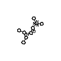 c1ccc(-c2ccc3c(c2)c2cc(-c4ccccc4)ccc2n3-c2ccc3oc4cc(-c5nc(-c6ccccc6)nc(-c6ccccc6)n5)ccc4c3c2)cc1